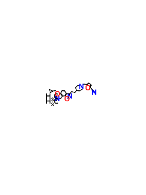 CN(C)Cc1c(OCC2CC2)ccc2c(CCC3CCN(Cc4ccc(C#N)o4)CC3)noc12